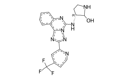 OC1NCC[C@H]1Nc1nc2ccccc2c2nc(-c3cc(C(F)(F)F)ccn3)nn12